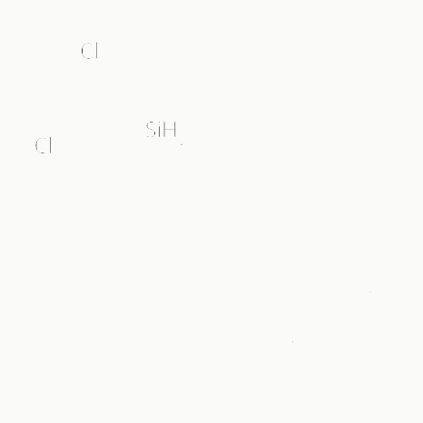 ClC(Cl)[SiH2]CCCC1CC2C=CC1C2